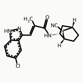 C/C(=C\c1n[nH]c2ccc(Cl)cc12)C(=O)N[C@@H]1C[C@@H]2CC[C@H]1N2C#N